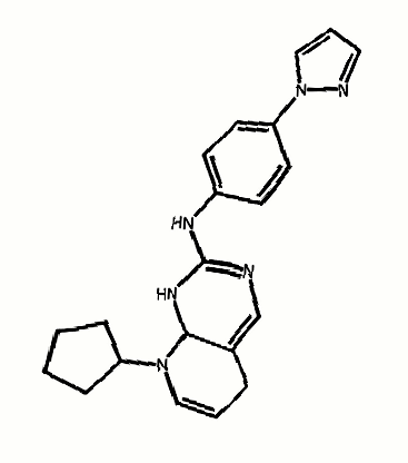 C1=CN(C2CCCC2)C2NC(Nc3ccc(-n4cccn4)cc3)=NC=C2C1